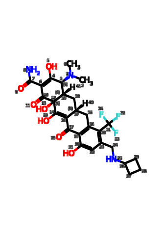 CN(C)[C@@H]1C(O)=C(C(N)=O)C(=O)[C@@]2(O)C(O)=C3C(=O)c4c(O)cc(CNC5CCC5)c(C(F)(F)F)c4C[C@H]3C[C@@H]12